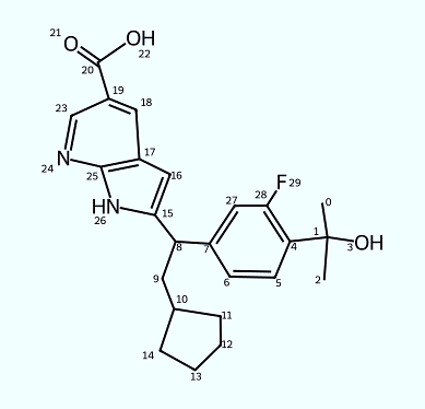 CC(C)(O)c1ccc(C(CC2CCCC2)c2cc3cc(C(=O)O)cnc3[nH]2)cc1F